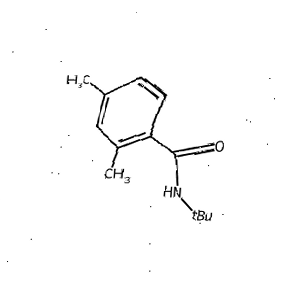 Cc1ccc(C(=O)NC(C)(C)C)c(C)c1